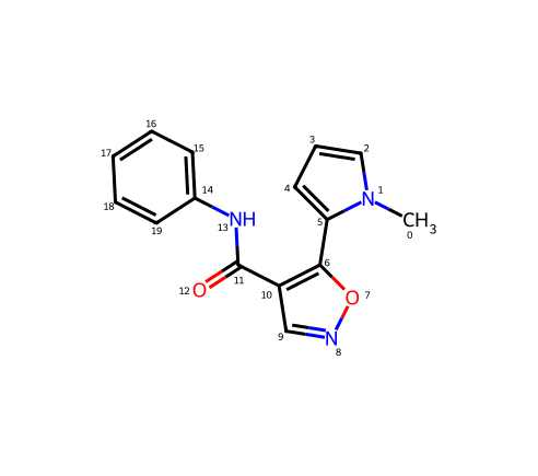 Cn1cccc1-c1oncc1C(=O)Nc1ccccc1